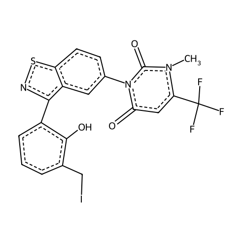 Cn1c(C(F)(F)F)cc(=O)n(-c2ccc3snc(-c4cccc(CI)c4O)c3c2)c1=O